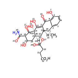 C[C@H]1c2cccc(O)c2C(=O)C2=C(O)[C@]3(O)C(=O)C(C(N)=O)C(O)C[C@@H]3[C@@H](OC(=O)CCC(=O)O)[C@@H]21